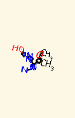 COc1cc(C)cc(-c2nn(CC#N)cc2-c2ccnc(N3CC[C@H](O)C3)n2)c1